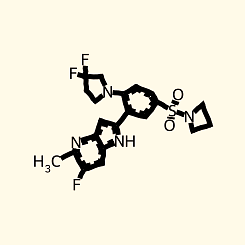 Cc1nc2cc(-c3cc(S(=O)(=O)N4CCC4)ccc3N3CCC(F)(F)C3)[nH]c2cc1F